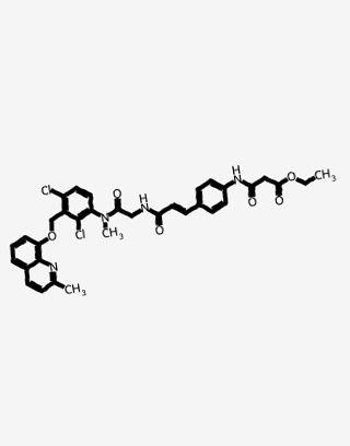 CCOC(=O)CC(=O)Nc1ccc(C=CC(=O)NCC(=O)N(C)c2ccc(Cl)c(COc3cccc4ccc(C)nc34)c2Cl)cc1